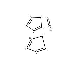 C1=CCC=C1.C1=CCC=C1.C=O